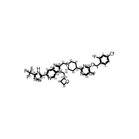 Fc1cc(Cl)ccc1COc1nc(C2CCN(Cc3nc4cc(-c5nnc(C(F)(F)F)[nH]5)ncc4n3C[C@@H]3CCO3)CC2)ncc1F